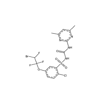 Cc1cc(C)nc(NC(=O)NS(=O)(=O)c2cc(OC(F)(F)C(F)Br)ccc2Cl)n1